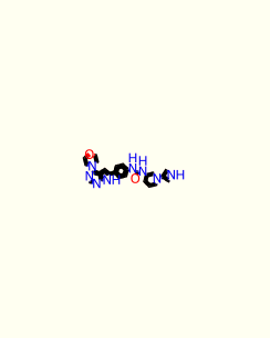 O=C(Nc1ccc(-c2cc3c(N4CCOCC4)ncnc3[nH]2)cc1)NC1CCCN(C2CNC2)C1